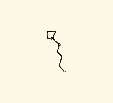 [CH2]CCCON1CCC1